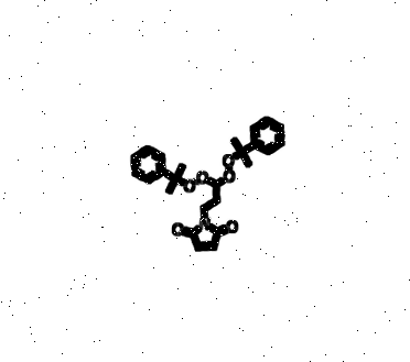 CC(C)(OOC(CCN1C(=O)C=CC1=O)OOC(C)(C)c1ccccc1)c1ccccc1